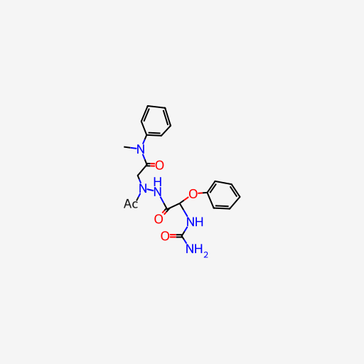 CC(=O)N(CC(=O)N(C)c1ccccc1)NC(=O)C(NC(N)=O)Oc1ccccc1